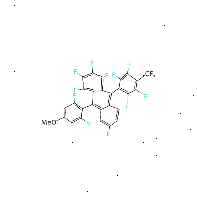 COc1cc(F)c(-c2c3cc(F)ccc3c(-c3c(F)c(F)c(C(F)(F)F)c(F)c3F)c3c(F)c(F)c(F)c(F)c23)c(F)c1